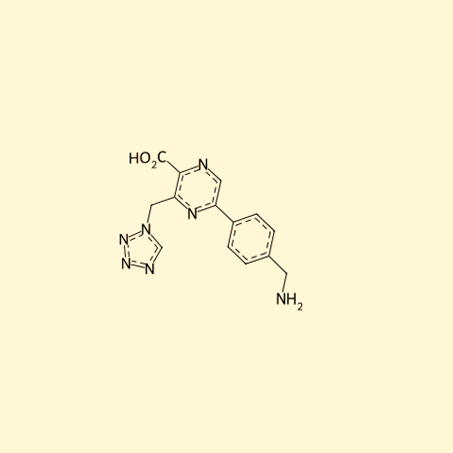 NCc1ccc(-c2cnc(C(=O)O)c(Cn3cnnn3)n2)cc1